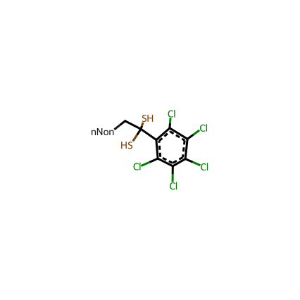 CCCCCCCCCCC(S)(S)c1c(Cl)c(Cl)c(Cl)c(Cl)c1Cl